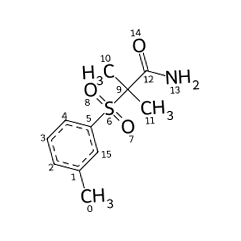 Cc1cccc(S(=O)(=O)C(C)(C)C(N)=O)c1